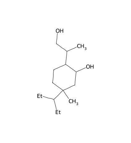 CCC(CC)C1(C)CCC(C(C)CO)C(O)C1